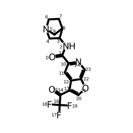 O=C(NC1CN2CCC1C2)c1cc2c(C(=O)C(F)(F)F)coc2cn1